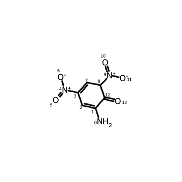 NC1=CC([N+](=O)[O-])=CC([N+](=O)[O-])C1=O